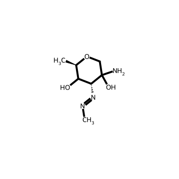 C/N=N/[C@@H]1C(O)[C@@H](C)OCC1(N)O